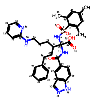 Cc1cc(C)c(S(=O)(=O)N[C@](NC(=O)c2ccc3[nH]ncc3c2)(C(=O)O)C(CCCNc2ccccn2)CCc2ccccc2)c(C)c1